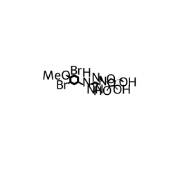 COc1c(Br)cc(CNc2ncnc3c2ncn3[C@@H]2O[C@H](CO)[C@@H](O)[C@H]2O)cc1Br